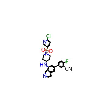 N#Cc1cc(-c2cc(NC3CCN(S(=O)(=O)c4ccc(Cl)nc4)CC3)c3cnccc3c2)ccc1F